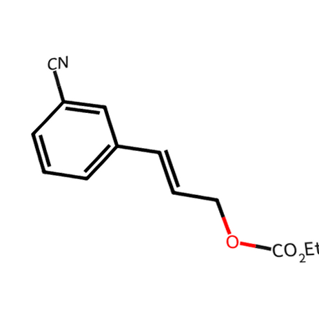 CCOC(=O)OCC=Cc1cccc(C#N)c1